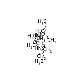 CCCCCCC(C)(CCCCC)OCC(=O)NC(C)(C)CCOC(C)(C)CCNC(=O)C(C)(CCCC)CCCCCC